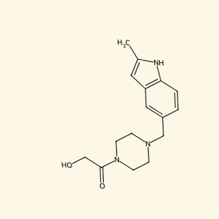 Cc1cc2cc(CN3CCN(C(=O)CO)CC3)ccc2[nH]1